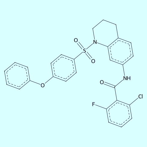 O=C(Nc1ccc2c(c1)N(S(=O)(=O)c1ccc(Oc3ccccc3)cc1)CCC2)c1c(F)cccc1Cl